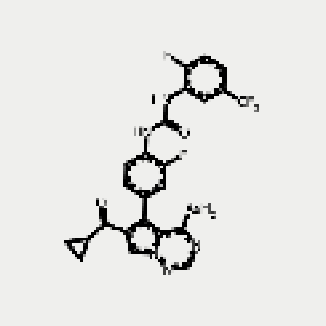 O=C(Nc1ccc(-c2c(C(=O)C3CC3)cn3ncnc([AsH2])c23)cc1F)Nc1cc(C(F)(F)F)ccc1F